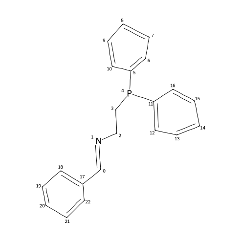 C(=N\CCP(c1ccccc1)c1ccccc1)/c1ccccc1